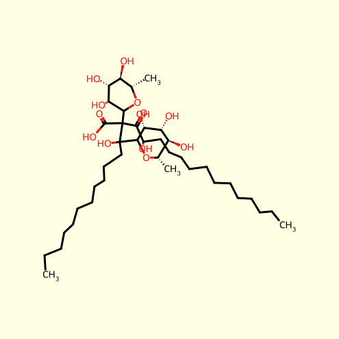 CCCCCCCCCCCCC(O)C(=O)C(C(=O)O)(C1O[C@@H](C)[C@H](O)[C@@H](O)[C@H]1O)C(O)(CCCCCCCCCCC)C1O[C@@H](C)[C@H](O)[C@@H](O)[C@H]1O